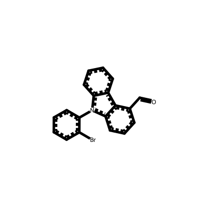 O=Cc1cccc2c1c1ccccc1n2-c1ccccc1Br